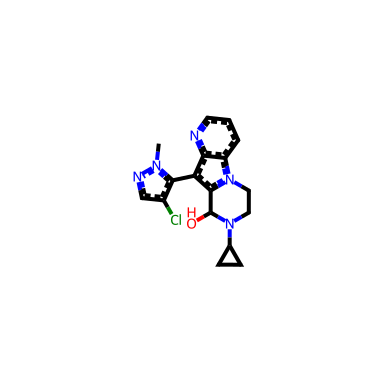 Cn1ncc(Cl)c1-c1c2n(c3cccnc13)CCN(C1CC1)C2O